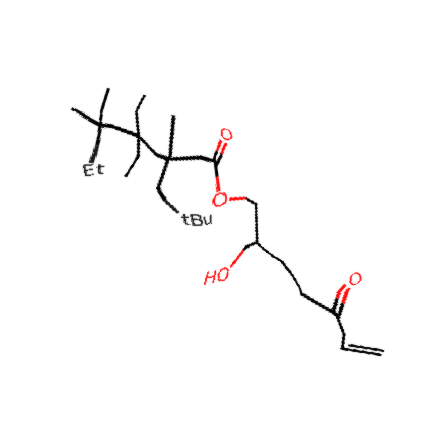 C=CC(=O)CCC(O)COC(=O)C(C)(CC(C)(C)C)C(C)(C)C(C)(C)CC